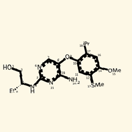 CC[C@H](CO)Nc1ncc(Oc2cc(SC)c(OC)cc2C(C)C)c(N)n1